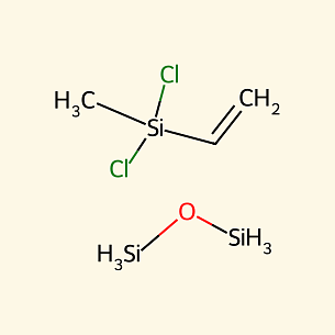 C=C[Si](C)(Cl)Cl.[SiH3]O[SiH3]